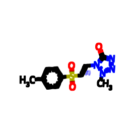 Cc1ccc(S(=O)(=O)/C=C/n2c(=O)nnn2C)cc1